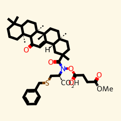 COC(=O)CCC(=O)ON(C(=O)C1(C)CC[C@]2(C)CC[C@]3(C)C(=CC(=O)C4[C@@]5(C)CCCC(C)(C)C5CC[C@]43C)[C@@H]2C1)[C@@H](CSCc1ccccc1)C(=O)O